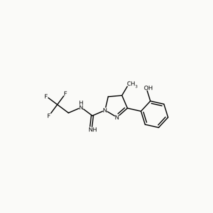 CC1CN(C(=N)NCC(F)(F)F)N=C1c1ccccc1O